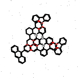 C1=CC(c2cccc(-c3ccccc3)c2N2c3cc(-n4c5ccccc5c5ccccc54)ccc3B3c4ccc(-n5c6ccccc6c6ccccc65)cc4N(C4C(C5CCCCC5)CCCC4C4CCCCC4)c4cc(-c5ccc(-c6c7ccccc7cc7ccccc67)cc5)cc2c43)=CCC1